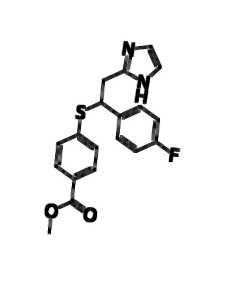 COC(=O)c1ccc(SC(Cc2ncc[nH]2)c2ccc(F)cc2)cc1